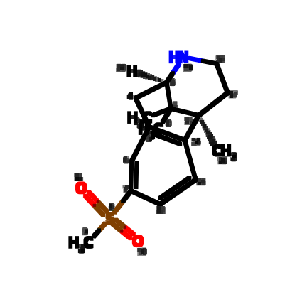 CC1(C)[C@H]2Cc3cc(S(C)(=O)=O)ccc3[C@]1(C)CCN2